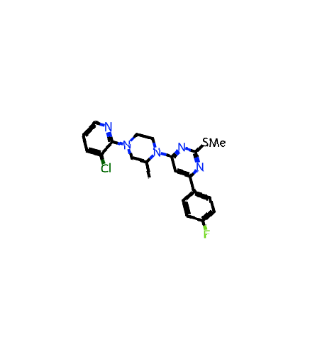 CSc1nc(-c2ccc(F)cc2)cc(N2CCN(c3ncccc3Cl)CC2C)n1